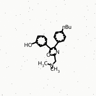 CCCCc1ccc(-c2nc(CN(C)C)oc2-c2cccc(O)c2)cc1